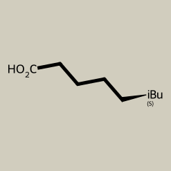 CC[C@H](C)CCCCC(=O)O